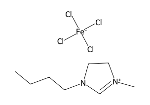 CCCCN1C=[N+](C)CC1.[Cl][Fe-]([Cl])([Cl])[Cl]